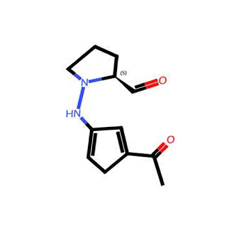 CC(=O)C1=CC(NN2CCC[C@H]2C=O)=CC1